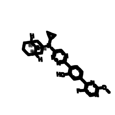 COc1ncc(F)c(-c2ccc(-c3ncc(N(C4CC4)[C@@H]4C[C@H]5CCC[C@@H](C4)N5)nn3)c(O)c2)n1